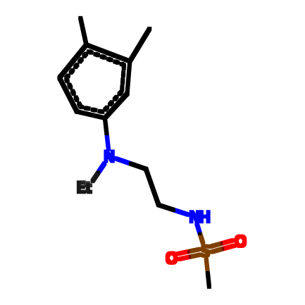 CCN(CCNS(C)(=O)=O)c1ccc(C)c(C)c1